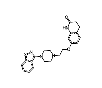 O=C1CCc2ccc(OCCN3CCN(c4nsc5ccccc45)CC3)cc2N1